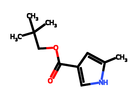 Cc1cc(C(=O)OCC(C)(C)C)c[nH]1